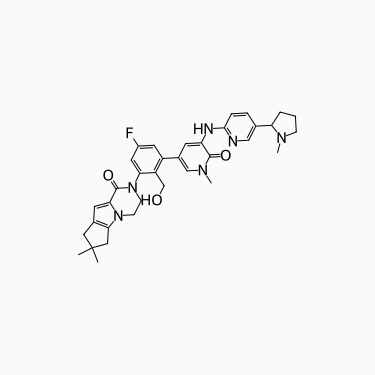 CN1CCCC1c1ccc(Nc2cc(-c3cc(F)cc(N4CCn5c(cc6c5CC(C)(C)C6)C4=O)c3CO)cn(C)c2=O)nc1